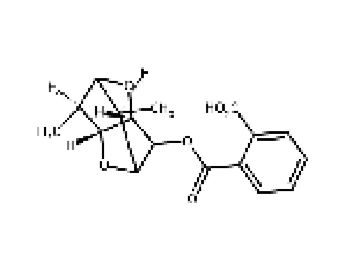 C[C@H]1C2O[C@H]3[C@H](OC1[C@@H]3C)C2OC(=O)c1ccccc1C(=O)O